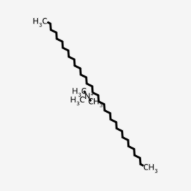 CCCCCCCCCCCCCCCCCC(CCCCCCCCCCCCCCCC)[N+](C)(C)C